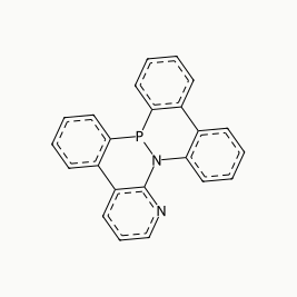 c1ccc2c(c1)-c1ccccc1P1c3ccccc3-c3cccnc3N21